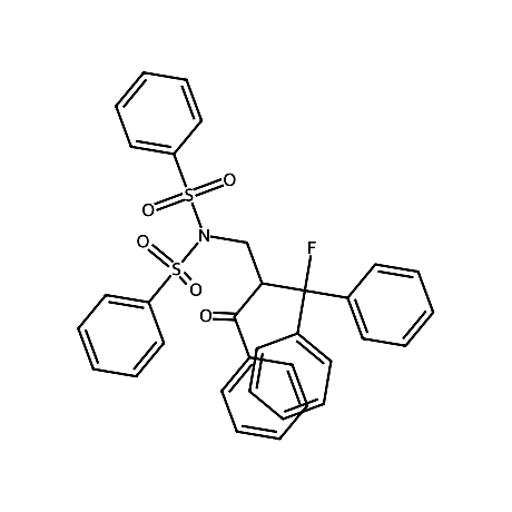 O=C(c1ccccc1)C(CN(S(=O)(=O)c1ccccc1)S(=O)(=O)c1ccccc1)C(F)(c1ccccc1)c1ccccc1